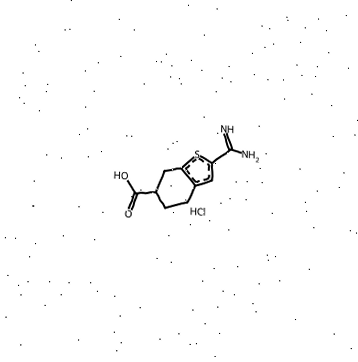 Cl.N=C(N)c1cc2c(s1)CC(C(=O)O)CC2